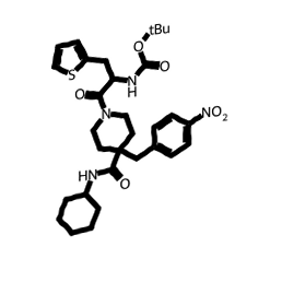 CC(C)(C)OC(=O)NC(Cc1cccs1)C(=O)N1CCC(Cc2ccc([N+](=O)[O-])cc2)(C(=O)NC2CCCCC2)CC1